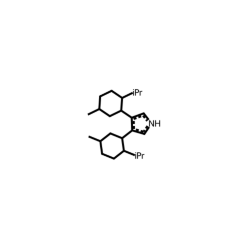 CC1CCC(C(C)C)C(c2c[nH]cc2C2CC(C)CCC2C(C)C)C1